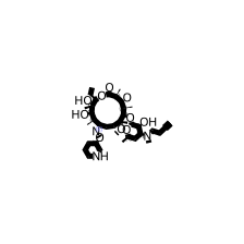 C#CCCN(C)[C@H]1C[C@@H](C)OC(O[C@@H]2[C@@H](C)C(=O)[C@@H](C)C(=O)O[C@H](CC)[C@@](C)(O)[C@H](O)[C@@H](C)/C(=N/O[C@@H]3CCCNC3)CC[C@@]2(C)OC)[C@@H]1O